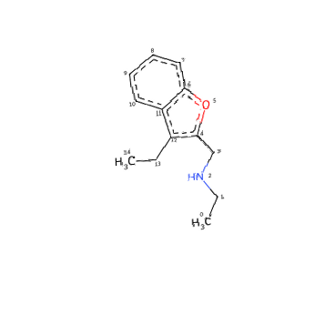 CCNCc1oc2ccccc2c1CC